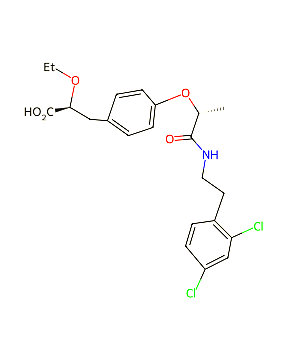 CCO[C@@H](Cc1ccc(O[C@H](C)C(=O)NCCc2ccc(Cl)cc2Cl)cc1)C(=O)O